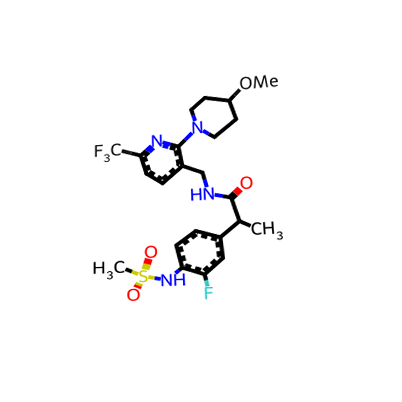 COC1CCN(c2nc(C(F)(F)F)ccc2CNC(=O)C(C)c2ccc(NS(C)(=O)=O)c(F)c2)CC1